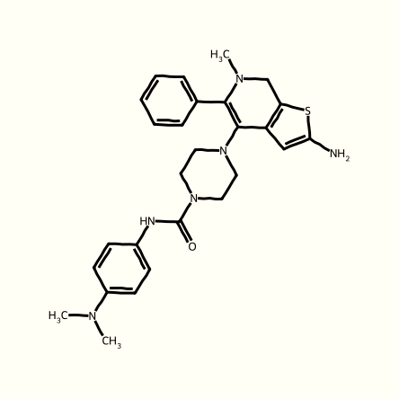 CN1Cc2sc(N)cc2C(N2CCN(C(=O)Nc3ccc(N(C)C)cc3)CC2)=C1c1ccccc1